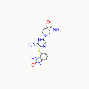 Nc1nc(N2CCC3(CC2)COCC3N)cnc1Sc1cccc2[nH]c(=O)[nH]c12